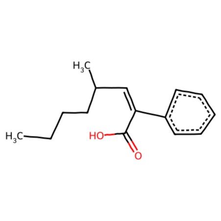 CCCCC(C)C=C(C(=O)O)c1ccccc1